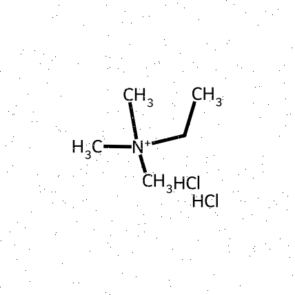 CC[N+](C)(C)C.Cl.Cl